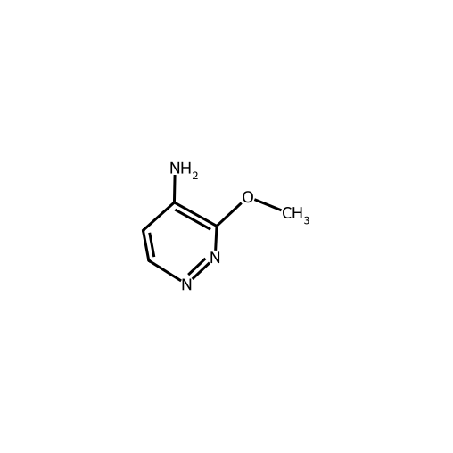 COc1nnccc1N